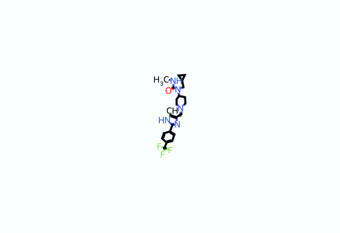 CNC(=O)N(CC1CC1)C1CCN(Cc2nc(-c3ccc(C(F)(F)F)cc3)[nH]c2C)CC1